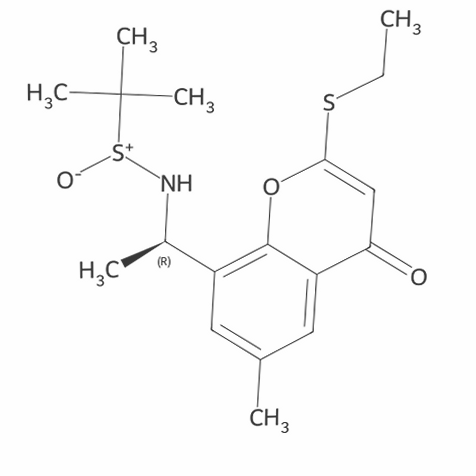 CCSc1cc(=O)c2cc(C)cc([C@@H](C)N[S+]([O-])C(C)(C)C)c2o1